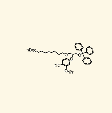 CCCCCCCCCCCCCCCCCCOCC(COC(c1ccccc1)(c1ccccc1)c1ccccc1)Oc1ccc(C#N)c(OC(C)C)c1